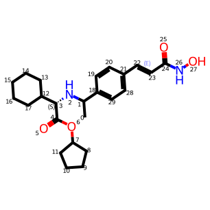 CC(N[C@H](C(=O)OC1CCCC1)C1CCCCC1)c1ccc(/C=C/C(=O)NO)cc1